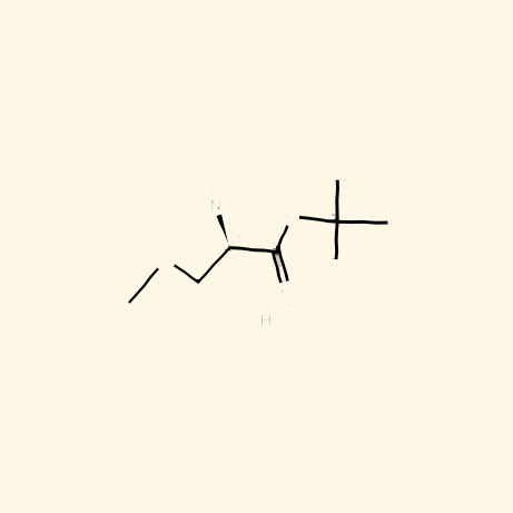 COC[C@@H](N)C(=O)OC(C)(C)C.Cl